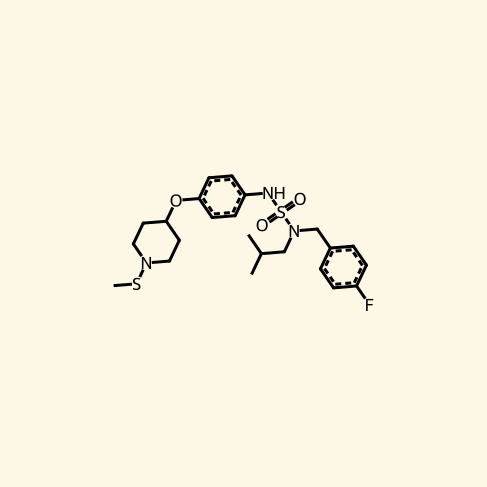 CSN1CCC(Oc2ccc(NS(=O)(=O)N(Cc3ccc(F)cc3)CC(C)C)cc2)CC1